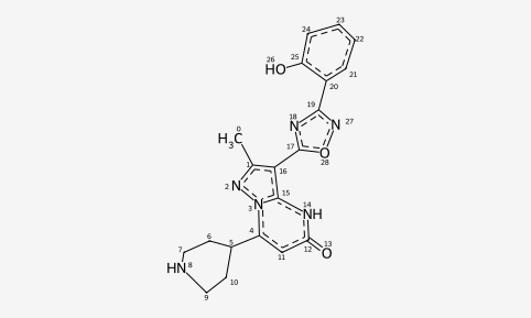 Cc1nn2c(C3CCNCC3)cc(=O)[nH]c2c1-c1nc(-c2ccccc2O)no1